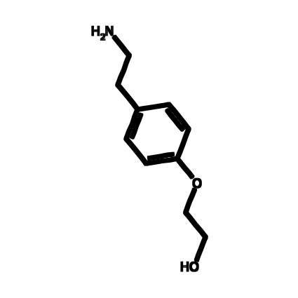 NCCc1ccc(OCCO)cc1